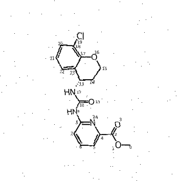 COC(=O)c1cccc(NC(=O)N[C@H]2CCOc3c(Cl)cccc32)n1